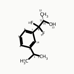 CC(C)c1cccc(C(F)(F)[C@H](C)O)c1